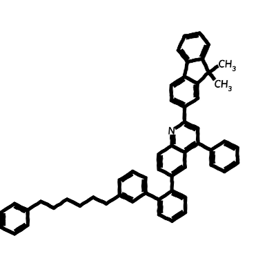 CC1(C)c2ccccc2-c2ccc(-c3cc(-c4ccccc4)c4cc(-c5ccccc5-c5cccc(CCCCCCc6ccccc6)c5)ccc4n3)cc21